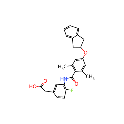 Cc1cc(OC2Cc3ccccc3C2)cc(C)c1C(=O)Nc1cc(CC(=O)O)ccc1F